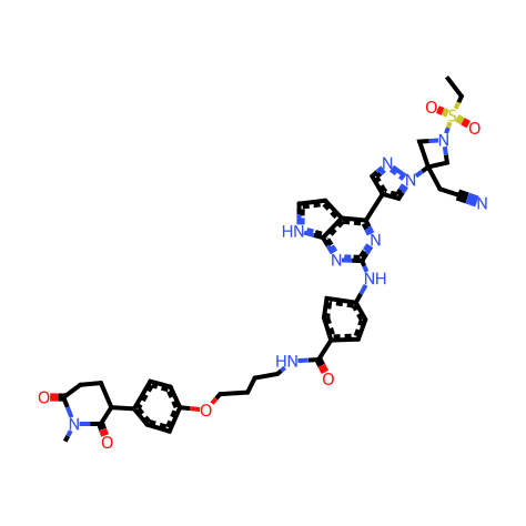 CCS(=O)(=O)N1CC(CC#N)(n2cc(-c3nc(Nc4ccc(C(=O)NCCCCOc5ccc(C6CCC(=O)N(C)C6=O)cc5)cc4)nc4[nH]ccc34)cn2)C1